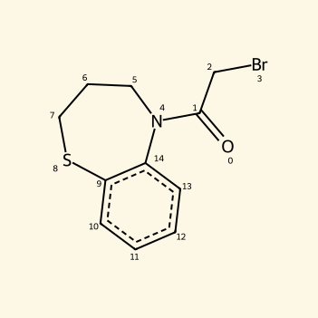 O=C(CBr)N1CCCSc2ccccc21